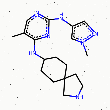 Cc1cnc(Nc2cnn(C)c2)nc1NC1CCC2(CCNC2)CC1